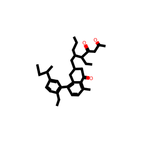 CCCC(CC1CC(=O)c2c(C)ccc(-c3cc(C(C)CC)ccc3CC)c2C1)C(CC)C(=O)CC(C)=O